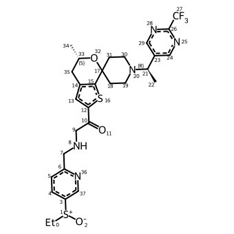 CC[S+]([O-])c1ccc(CNCC(=O)c2cc3c(s2)C2(CCN([C@H](C)c4cnc(C(F)(F)F)nc4)CC2)O[C@@H](C)C3)nc1